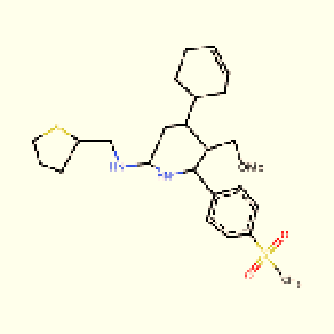 COCC1C(c2ccc(S(C)(=O)=O)cc2)NC(NCC2CCCS2)CC1C1CC=CCC1